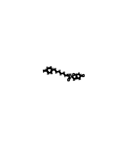 O=C1CC2O[C@@H](C(=O)NCCCCCCc3ccc(F)cc3)CN2C1